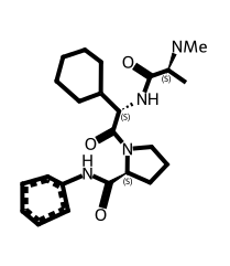 CN[C@@H](C)C(=O)N[C@H](C(=O)N1CCC[C@H]1C(=O)Nc1ccccc1)C1CCCCC1